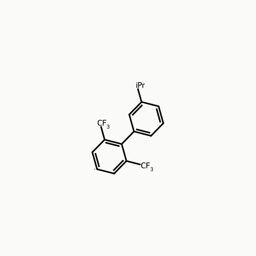 CC(C)c1cccc(-c2c(C(F)(F)F)c[c]cc2C(F)(F)F)c1